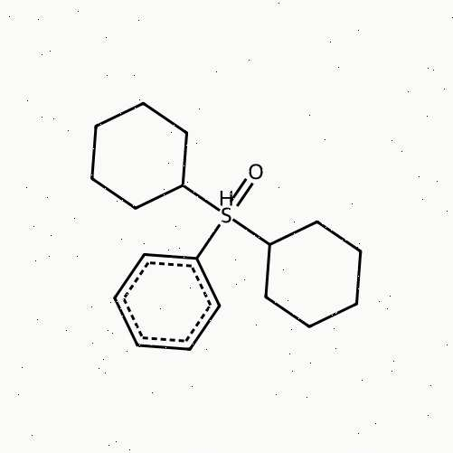 O=[SH](c1ccccc1)(C1CCCCC1)C1CCCCC1